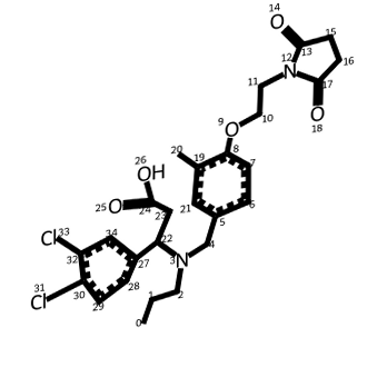 CCCN(Cc1ccc(OCCN2C(=O)CCC2=O)c(C)c1)C(CC(=O)O)c1ccc(Cl)c(Cl)c1